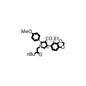 CCCCC(=O)CN1C[C@H](c2ccc3c(c2)OCO3)[C@H](C(=O)OCC)[C@H]1c1ccc(OC)cc1